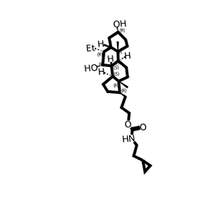 CC[C@H]1[C@@H](O)[C@@H]2[C@H](CC[C@]3(C)[C@@H](CCCOC(=O)NCCC4CC4)CC[C@@H]23)[C@@]2(C)CC[C@@H](O)C[C@@H]12